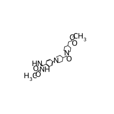 COC(=O)CC1CCN(C(=O)C2CCN(c3ccc(C(=N)NC(=O)OC)cc3)CC2)CC1